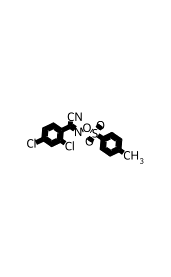 Cc1ccc(S(=O)(=O)O/N=C(\C#N)c2ccc(Cl)cc2Cl)cc1